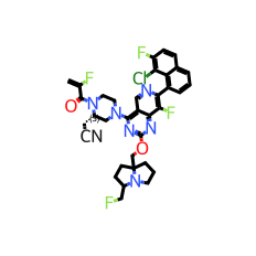 C=C(F)C(=O)N1CCN(c2nc(OCC34CCCN3C(CF)CC4)nc3c(F)c(-c4cccc5ccc(F)c(Cl)c45)ncc23)C[C@@H]1CC#N